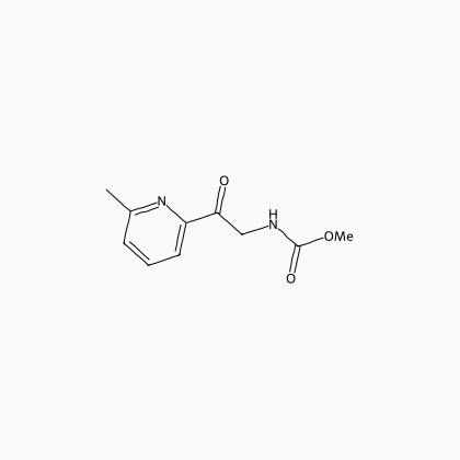 COC(=O)NCC(=O)c1cccc(C)n1